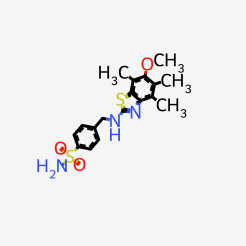 COc1c(C)c(C)c2nc(NCc3ccc(S(N)(=O)=O)cc3)sc2c1C